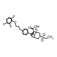 CCS(=O)(=O)N1CC2CC(c3ccc(CCCOc4c(F)ccc(F)c4F)cc3)=C(C(=O)O)[C@@H](C1)N2